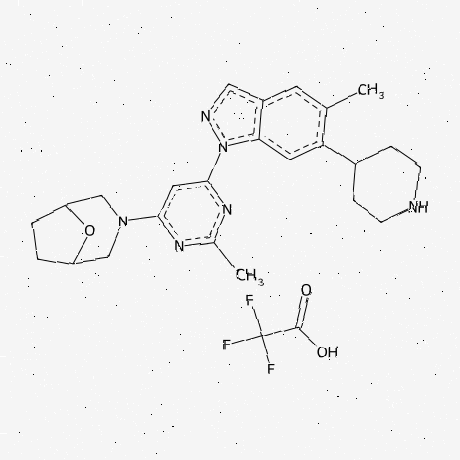 Cc1nc(N2CC3CCC(C2)O3)cc(-n2ncc3cc(C)c(C4CCNCC4)cc32)n1.O=C(O)C(F)(F)F